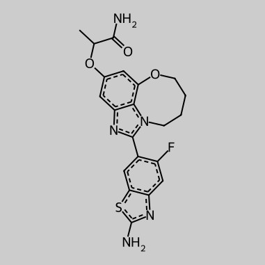 CC(Oc1cc2c3c(c1)nc(-c1cc4sc(N)nc4cc1F)n3CCCCO2)C(N)=O